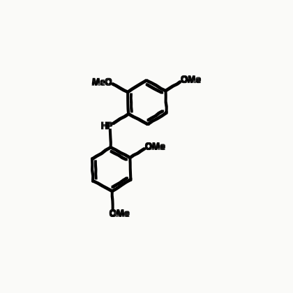 COc1ccc(Pc2ccc(OC)cc2OC)c(OC)c1